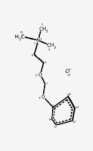 C[N+](C)(C)CCOCOc1ccccc1.[Cl-]